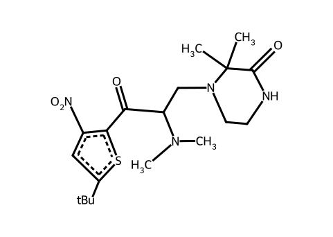 CN(C)C(CN1CCNC(=O)C1(C)C)C(=O)c1sc(C(C)(C)C)cc1[N+](=O)[O-]